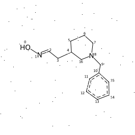 ON=CCC1CCCN(Cc2ccccc2)C1